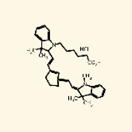 CN1C(=CC=C2C=C(C=CC3N(CCCCCC(=O)O)c4ccccc4C3(C)C)CCC2)C(C)(C)c2ccccc21.Cl